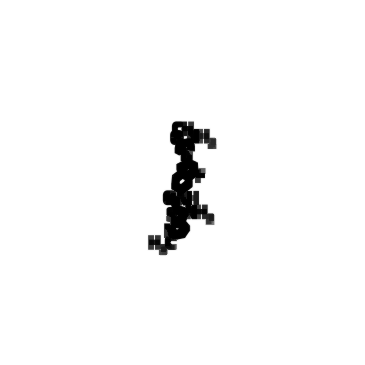 CO[C@H]1CN(c2cc(F)c3c(c2)CC[C@@H](NC(=O)c2sc4nc(C)ccc4c2N)C3)C[C@@H]1N